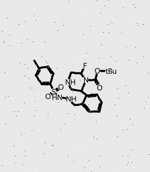 Cc1ccc(S(=O)(=O)NNCc2ccccc2C2CNCC(F)N2C(=O)OC(C)(C)C)cc1